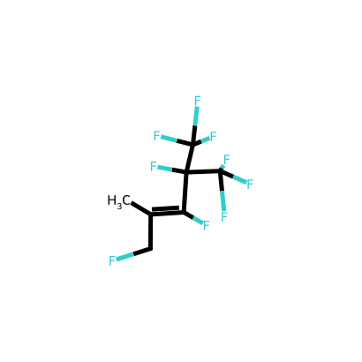 C/C(CF)=C(/F)C(F)(C(F)(F)F)C(F)(F)F